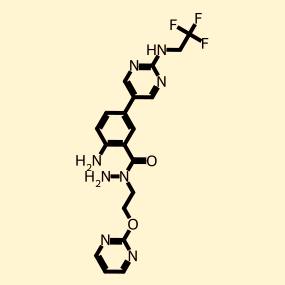 Nc1ccc(-c2cnc(NCC(F)(F)F)nc2)cc1C(=O)N(N)CCOc1ncccn1